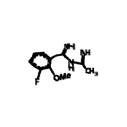 COc1c(F)cccc1C(=N)NC(C)=N